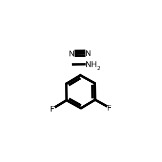 CN.Fc1cccc(F)c1.N#N